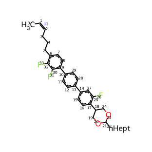 C/C=C\CCCc1ccc(-c2ccc(-c3ccc(C4COC(CCCCCCC)OC4)c(F)c3)cc2)c(F)c1F